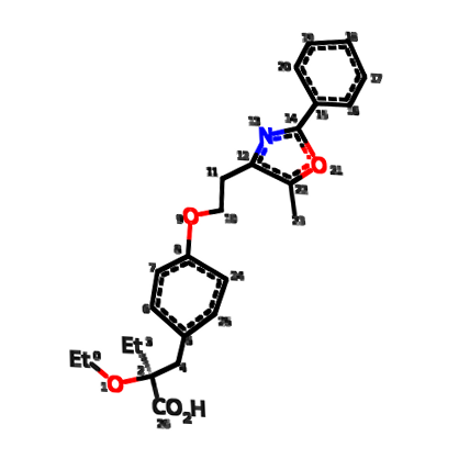 CCO[C@@](CC)(Cc1ccc(OCCc2nc(-c3ccccc3)oc2C)cc1)C(=O)O